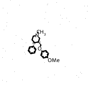 COc1ccc(OC[C@@H]2CN(C)CC[C@H]2c2ccccc2)cc1